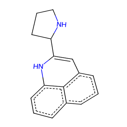 C1=C(C2CCCN2)Nc2cccc3cccc1c23